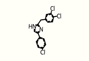 Clc1ccc(-c2c[nH]c(Cc3ccc(Cl)c(Cl)c3)n2)cc1